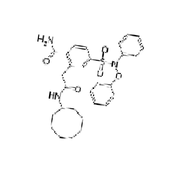 NC(=O)c1ccc(S(=O)(=O)N(Oc2ccccc2)c2ccccc2)cc1CC(=O)NC1CCCCCCC1